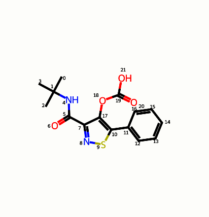 CC(C)(C)NC(=O)c1nsc(-c2ccccc2)c1OC(=O)O